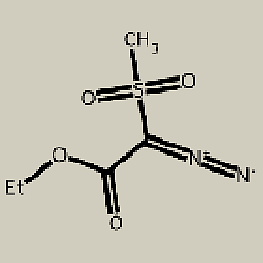 CCOC(=O)C(=[N+]=[N-])S(C)(=O)=O